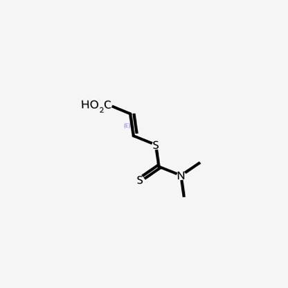 CN(C)C(=S)S/C=C/C(=O)O